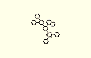 c1ccc(-c2ccc(-c3ccc(-c4nc(-c5ccccn5)nc(-c5ccccn5)n4)cc3-c3cccc4cccnc34)cc2-c2ccccc2)cc1